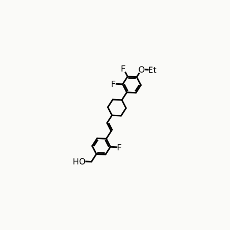 CCOc1ccc(C2CCC(/C=C/c3ccc(CO)cc3F)CC2)c(F)c1F